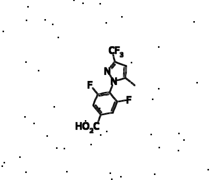 Cc1cc(C(F)(F)F)nn1-c1c(F)cc(C(=O)O)cc1F